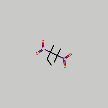 CCC(C)(P(=O)=O)C(C)(C)P(=O)=O